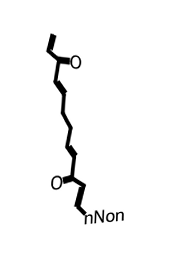 C=CC(=O)C=CCCC=CC(=O)C=CCCCCCCCCC